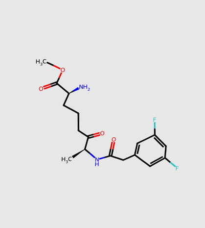 COC(=O)[C@@H](N)CCCC(=O)[C@H](C)NC(=O)Cc1cc(F)cc(F)c1